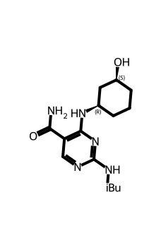 CCC(C)Nc1ncc(C(N)=O)c(N[C@@H]2CCC[C@H](O)C2)n1